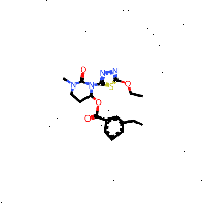 CCOc1nnc(N2C(=O)N(C)CCC2OC(=O)c2cccc(CC)c2)s1